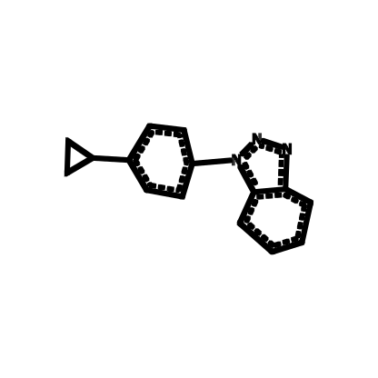 c1ccc2c(c1)nnn2-c1ccc(C2CC2)cc1